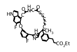 CCOC(=O)CCc1cccc(C2(C)CCCCCC(=O)CNC(=O)Cc3c(c(F)cc4[nH]ccc34)Oc3ccc(F)c(c3)-c3ncc2[nH]3)c1